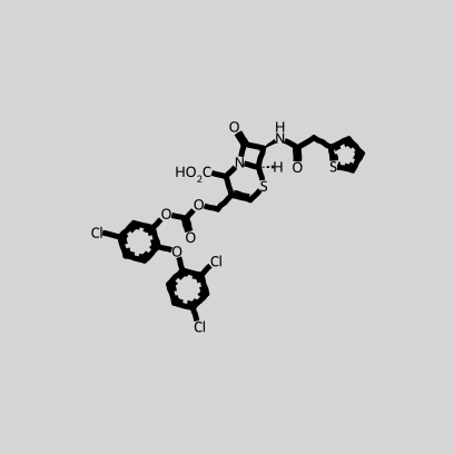 O=C(Cc1cccs1)N[C@@H]1C(=O)N2C(C(=O)O)C(COC(=O)Oc3cc(Cl)ccc3Oc3ccc(Cl)cc3Cl)=CS[C@H]12